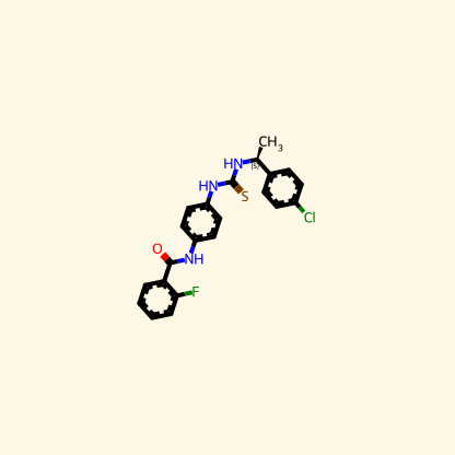 C[C@H](NC(=S)Nc1ccc(NC(=O)c2ccccc2F)cc1)c1ccc(Cl)cc1